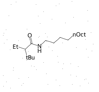 CCCCCCCCCCCCNC(=O)C(CC)C(C)(C)C